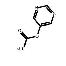 CC(=O)Oc1[c]ncnc1